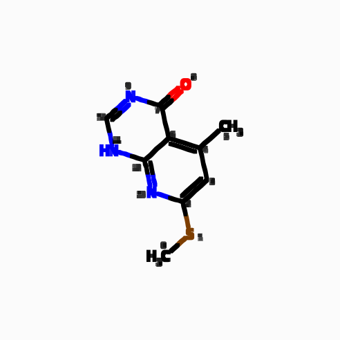 CSc1cc(C)c2c(=O)nc[nH]c2n1